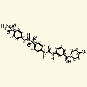 N=C(c1cccc(NC(=O)Nc2ccc(S(=O)(=O)NCc3ccc(S(N)(=O)=O)cc3)cc2)c1)N1CCC(=O)CC1